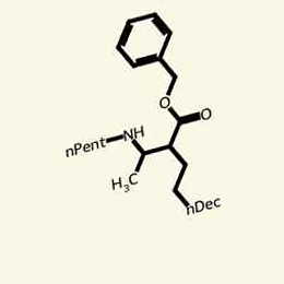 CCCCCCCCCCCCC(C(=O)OCc1ccccc1)C(C)NCCCCC